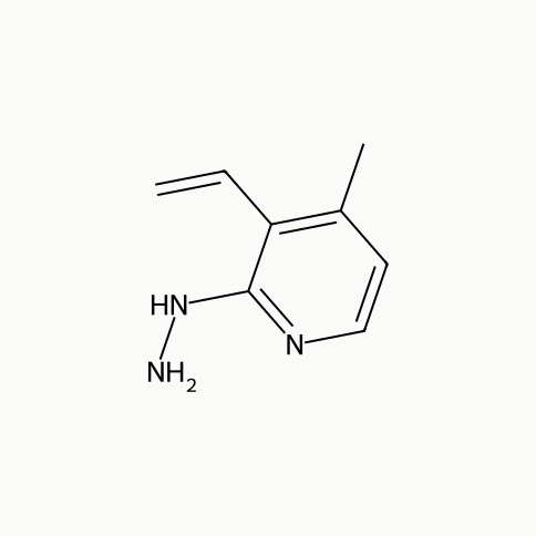 C=Cc1c(C)ccnc1NN